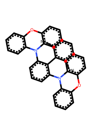 N#Cc1cccc(C#N)c1-c1c(N2c3ccccc3Oc3ccccc32)cccc1N1c2ccccc2Oc2ccccc21